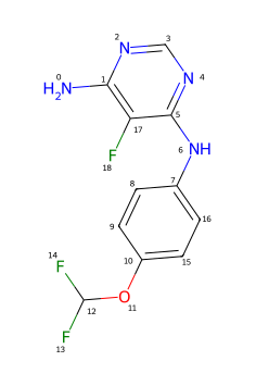 Nc1ncnc(Nc2ccc(OC(F)F)cc2)c1F